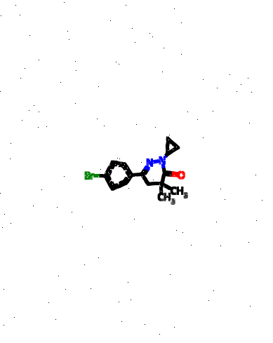 CC1(C)CC(c2ccc(Br)cc2)=NN(C2CC2)C1=O